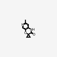 Cc1cc2c(cn1)OC1(CC1)C(=O)N2